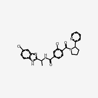 CC(NC(=O)c1ccc(C(=O)N2CCCC2c2ccccn2)c(Cl)c1)c1nc2cc(Cl)ccc2[nH]1